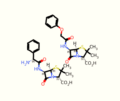 CC1(C)S[C@@H]2[C@H](NC(=O)COc3ccccc3)C(=O)N2[C@H]1C(=O)O.CC1(C)S[C@@H]2[C@H](NC(=O)[C@H](N)c3ccccc3)C(=O)N2[C@H]1C(=O)O